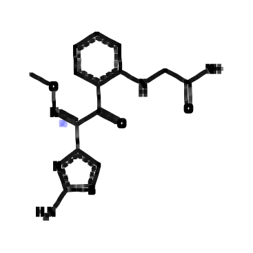 CO/N=C(\C(=O)c1ccccc1NCC([NH])=O)c1csc(N)n1